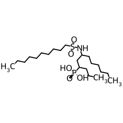 CCCCCCCCCCS(=O)(=O)NC(CCCCCC)CC(CCC)P(=O)(O)O